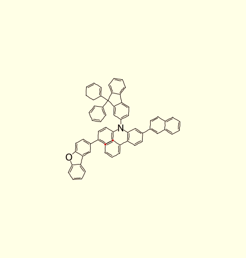 C1=CCCC(C2(c3ccccc3)c3ccccc3-c3ccc(N(c4ccc(-c5ccc6oc7ccccc7c6c5)cc4)c4cc(-c5ccc6ccccc6c5)ccc4-c4ccccc4)cc32)=C1